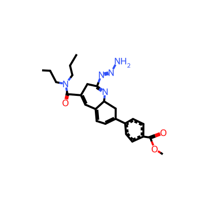 CCCN(CCC)C(=O)C1=CC2=CC=C(c3ccc(C(=O)OC)cc3)CC2N=C(N=NN)C1